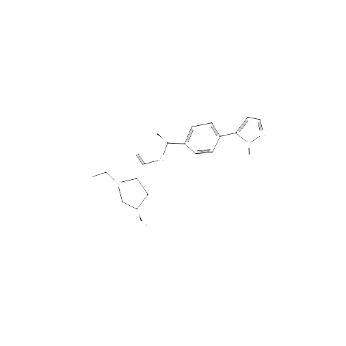 C[C@H](NC(=O)[C@@H]1C[C@@H](O)CN1CO)c1ccc(-c2ccnn2C)cc1